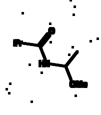 COC(C)NC(=O)C(C)C